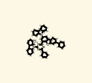 CC12C=CC=CC1c1ccccc1N2c1nc(-c2ccccc2)nc(-c2cc(-n3c4ccccc4c4ccccc43)cc3c2oc2cc(-c4ccccc4)ccc23)n1